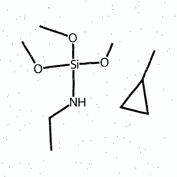 CC1CC1.CCN[Si](OC)(OC)OC